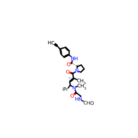 C#Cc1ccc(NC(=O)[C@@H]2CCCN2C(=O)/C(C)=C/C(C(C)C)N(C)C(=O)CNC=O)cc1